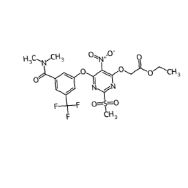 CCOC(=O)COc1nc(S(C)(=O)=O)nc(Oc2cc(C(=O)N(C)C)cc(C(F)(F)F)c2)c1[N+](=O)[O-]